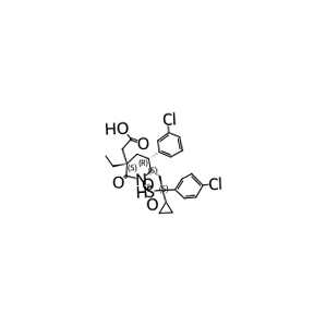 CC[C@@]1(CC(=O)O)C[C@H](c2cccc(Cl)c2)[C@H](C[C@@](c2ccc(Cl)cc2)(C2CC2)S(C)(=O)=O)NC1=O